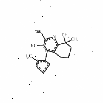 Cn1nccc1-c1c(C#N)c(C(C)(C)C)nc2c1CCCC2(C)C